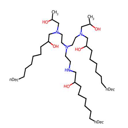 CCCCCCCCCCCCCCCCC(O)CNCCN(CCN(CC(C)O)CC(O)CCCCCCCCCCCCCCCC)CCN(CC(C)O)CC(O)CCCCCCCCCCCCCCCC